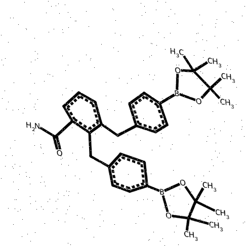 CC1(C)OB(c2ccc(Cc3cccc(C(N)=O)c3Cc3ccc(B4OC(C)(C)C(C)(C)O4)cc3)cc2)OC1(C)C